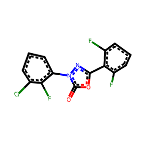 O=c1oc(-c2c(F)cccc2F)nn1-c1cccc(Cl)c1F